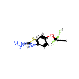 CC(F)(F)Oc1ccc2nc(N)sc2c1